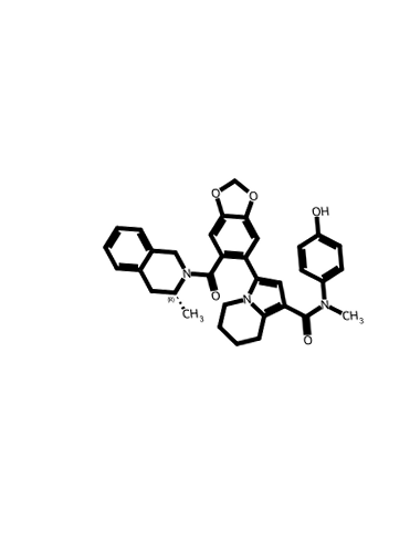 C[C@@H]1Cc2ccccc2CN1C(=O)c1cc2c(cc1-c1cc(C(=O)N(C)c3ccc(O)cc3)c3n1CCCC3)OCO2